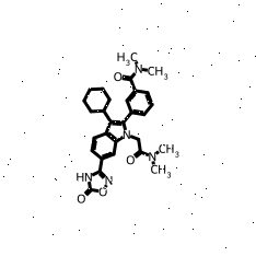 CN(C)C(=O)Cn1c(-c2cccc(C(=O)N(C)C)c2)c(C2CCCCC2)c2ccc(-c3noc(=O)[nH]3)cc21